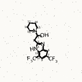 OC(Cc1nc2cc(C(F)(F)F)cc(C(F)(F)F)c2[nH]1)N1CCCCC1